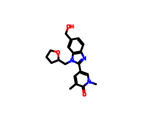 Cc1cc(-c2nc3ccc(CO)cc3n2CC2CCCO2)cn(C)c1=O